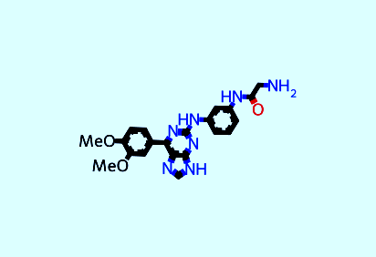 COc1ccc(-c2nc(Nc3cccc(NC(=O)CN)c3)nc3[nH]cnc23)cc1OC